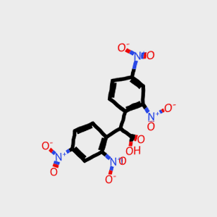 O=C(O)C(c1ccc([N+](=O)[O-])cc1[N+](=O)[O-])c1ccc([N+](=O)[O-])cc1[N+](=O)[O-]